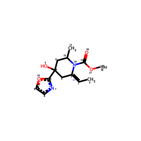 C/C=C1/CC(O)(c2ncco2)CC(C)N1C(=O)OC(C)(C)C